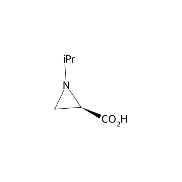 CC(C)N1C[C@@H]1C(=O)O